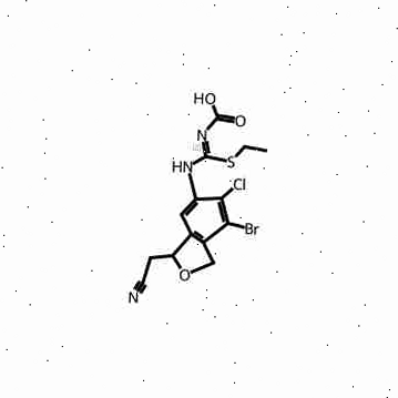 CCS/C(=N\C(=O)O)Nc1cc2c(c(Br)c1Cl)COC2CC#N